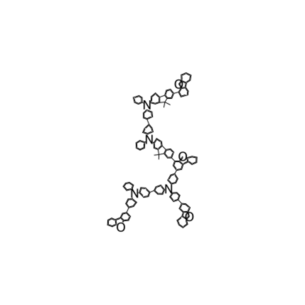 CC1(C)c2cc(-c3cccc4c3oc3ccccc34)ccc2-c2ccc(N(c3ccccc3)c3ccc(-c4ccc(N(c5ccccc5)c5ccc6c(c5)C(C)(C)c5cc(-c7cc(-c8ccc(N(c9ccc(-c%10ccc(N(c%11ccccc%11)c%11ccc(-c%12ccc%13oc%14ccccc%14c%13c%12)cc%11)cc%10)cc9)c9ccc(-c%10ccc%11oc%12ccccc%12c%11c%10)cc9)cc8)cc8c7oc7ccccc78)ccc5-6)cc4)cc3)cc21